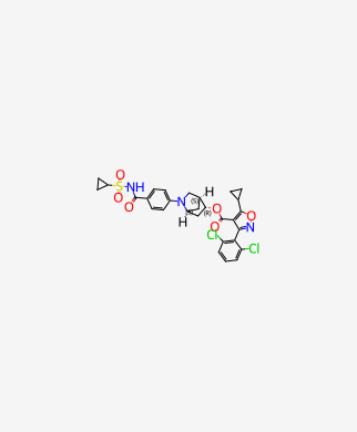 O=C(NS(=O)(=O)C1CC1)c1ccc(N2C[C@@H]3C[C@H]2C[C@H]3OC(=O)c2c(-c3c(Cl)cccc3Cl)noc2C2CC2)cc1